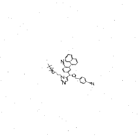 CC(C)(C)[Si](C)(C)OCCCn1cncc1C(OCc1ccc(C#N)cc1)c1ccc(C#N)c(-c2cccc3ccccc23)c1